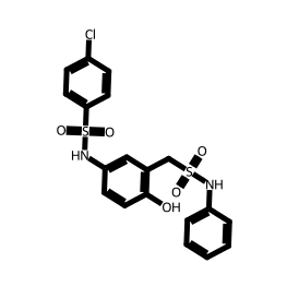 O=S(=O)(Cc1cc(NS(=O)(=O)c2ccc(Cl)cc2)ccc1O)Nc1ccccc1